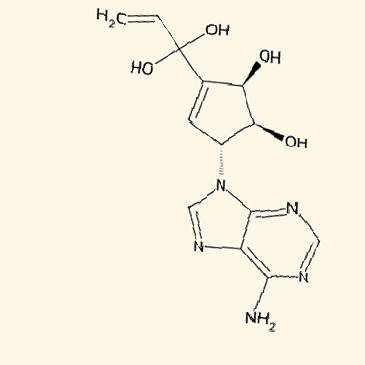 C=CC(O)(O)C1=C[C@@H](n2cnc3c(N)ncnc32)[C@H](O)[C@@H]1O